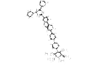 Bc1c(B)c(B)c(-c2ccc(-c3ccc(-c4ccc5c(c4)oc4cc(-c6nc(-c7ccccc7)nc(-c7ccccc7)n6)ccc45)cc3)cc2)c(B)c1B